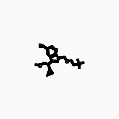 COCC(c1cn(COCC[Si](C)(C)C)c2ncc(Br)cc12)C1CC1